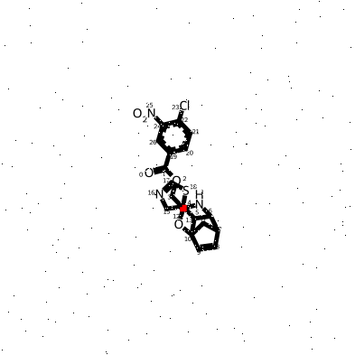 O=C(OCC1NC2C3C=CC(C3)(O1)C2C1CN=CS1)c1ccc(Cl)c([N+](=O)[O-])c1